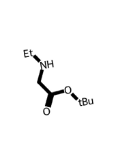 CCNCC(=O)OC(C)(C)C